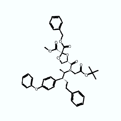 COC(=O)[C@@]1(C(=O)OCc2ccccc2)OC[C@@H](C(=O)N(CC(=O)OC(C)(C)C)[C@H](C)[C@H](CCc2ccccc2)c2ccc(Oc3ccccc3)cc2)O1